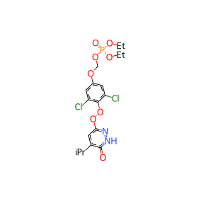 CCOP(=O)(OCC)OCOc1cc(Cl)c(OOc2cc(C(C)C)c(=O)[nH]n2)c(Cl)c1